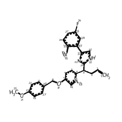 C=CCC(c1ccc(OCc2ccc(OC)cc2)cn1)c1nc(-c2cc(F)ccc2Br)c[nH]1